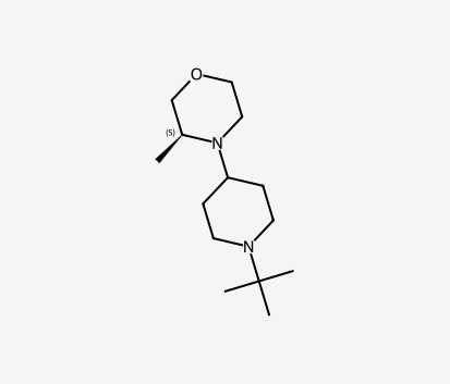 C[C@H]1COCCN1C1CCN(C(C)(C)C)CC1